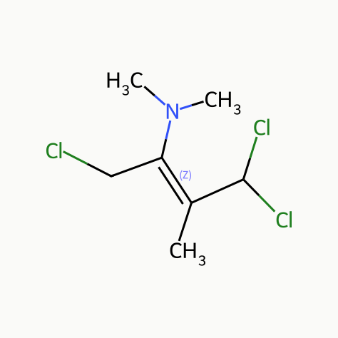 C/C(=C(\CCl)N(C)C)C(Cl)Cl